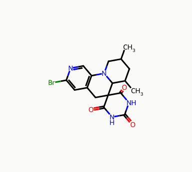 CC1CC(C)C2N(C1)c1cnc(Br)cc1CC21C(=O)NC(=O)NC1=O